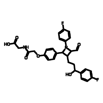 O=CC1C(CCC(O)c2ccc(F)cc2)C(c2ccc(OCC(=O)NCC(=O)O)cc2)N1c1ccc(F)cc1